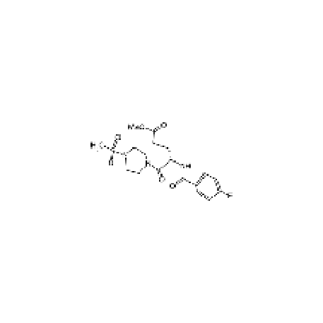 COC(=O)CC[C@H](NC(=O)c1ccc(F)cc1)C(=O)N1CCN(S(C)(=O)=O)CC1